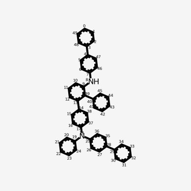 c1ccc(-c2ccc(Nc3cccc(-c4ccc(N(c5ccccc5)c5ccc(-c6ccccc6)cc5)cc4)c3-c3ccccc3)cc2)cc1